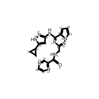 O=C(NCc1nc(Nc2cc(C3CC3)[nH]n2)c2cccn2n1)c1cnccn1